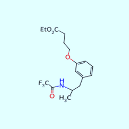 CCOC(=O)CCCOc1cccc(CC(C)NC(=O)C(F)(F)F)c1